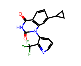 O=c1[nH]c(=O)n(-c2cccnc2C(F)(F)F)c2cc(C3CC3)ccc12